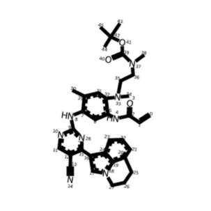 C=CC(=O)Nc1cc(Nc2ncc(C#N)c(-c3cn4c5c(cccc35)CCC4)n2)c(C)cc1N(C)CCN(C)C(=O)OC(C)(C)C